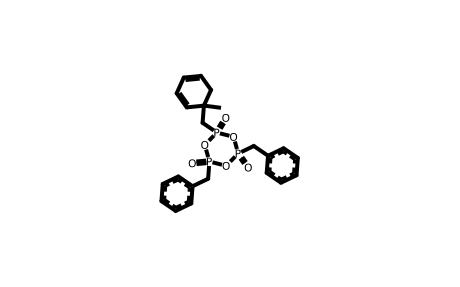 CC1(CP2(=O)OP(=O)(Cc3ccccc3)OP(=O)(Cc3ccccc3)O2)C=CC=CC1